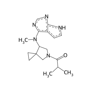 CC(C)C(=O)N1CC(N(C)c2ncnc3[nH]ccc23)C2(CC2)C1